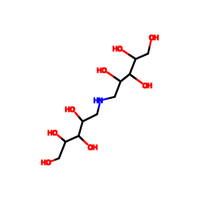 OCC(O)C(O)C(O)CNCC(O)C(O)C(O)CO